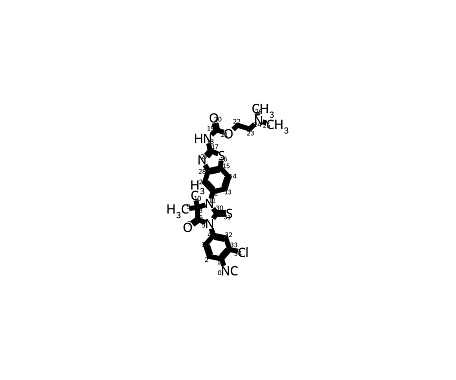 [C-]#[N+]c1ccc(N2C(=O)C(C)(C)N(c3ccc4sc(NC(=O)OCCN(C)C)nc4c3)C2=S)cc1Cl